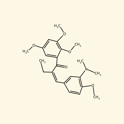 CCC(=Cc1ccc(OC)c(N(C)C)c1)C(=O)c1cc(OC)cc(OC)c1OC